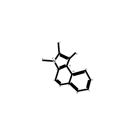 Cc1c(C)n(C)c2ccc3ccccc3c12